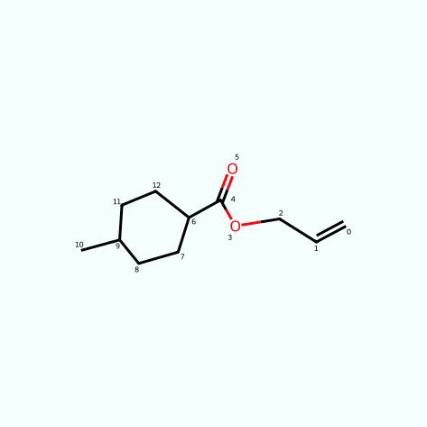 C=CCOC(=O)C1CCC(C)CC1